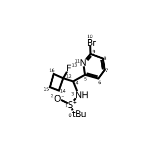 CC(C)(C)[S+]([O-])NC(c1cccc(Br)n1)C1(F)CCC1